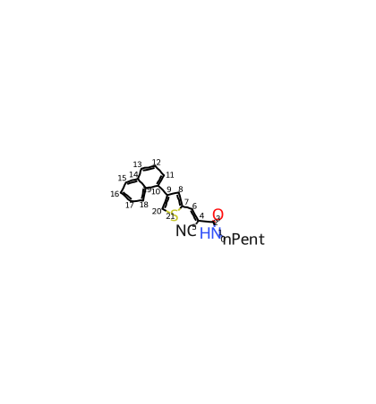 CCCCCNC(=O)/C(C#N)=C/c1cc(-c2cccc3ccccc23)cs1